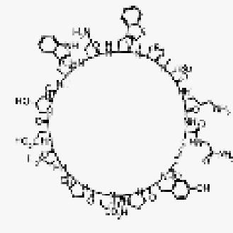 CCCC[C@H]1C(=O)N(C)[C@@H](CCCC)C(=O)N[C@@H](CCCN)C(=O)N[C@H](C(=O)NCC(N)=O)CSCC(=O)N[C@@H](Cc2ccc(O)cc2)C(=O)N2CCC[C@H]2C(=O)N[C@@H](CC(=O)O)C(=O)N2CCC[C@H]2C(=O)N[C@@H](CN)C(=O)N[C@@H](CC(=O)O)C(=O)N2C[C@H](O)C[C@H]2C(=O)N[C@@H](Cc2c[nH]c3ccccc23)C(=O)N[C@@H](CCN)C(=O)N[C@@H](Cc2csc3ccccc23)C(=O)N1C